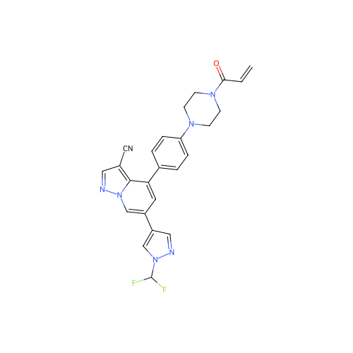 C=CC(=O)N1CCN(c2ccc(-c3cc(-c4cnn(C(F)F)c4)cn4ncc(C#N)c34)cc2)CC1